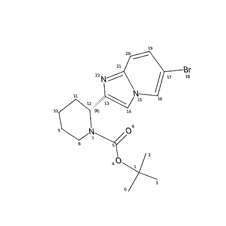 CC(C)(C)OC(=O)N1CCCC[C@@H]1c1cn2cc(Br)ccc2n1